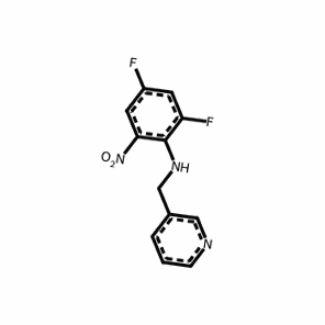 O=[N+]([O-])c1cc(F)cc(F)c1NCc1cccnc1